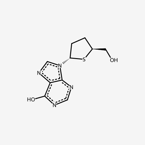 OC[C@@H]1CC[C@@H](n2cnc3c(O)ncnc32)S1